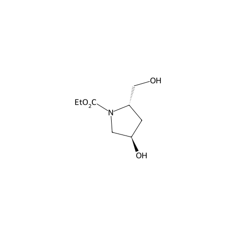 CCOC(=O)N1C[C@H](O)C[C@H]1CO